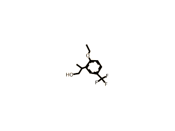 CCOc1ccc(C(F)(F)F)cc1[C](C)CO